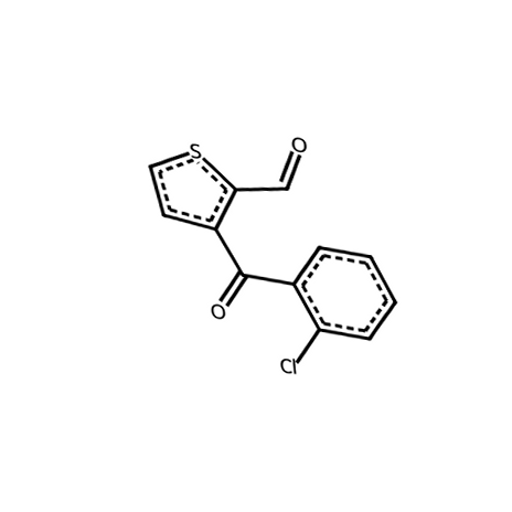 O=Cc1sccc1C(=O)c1ccccc1Cl